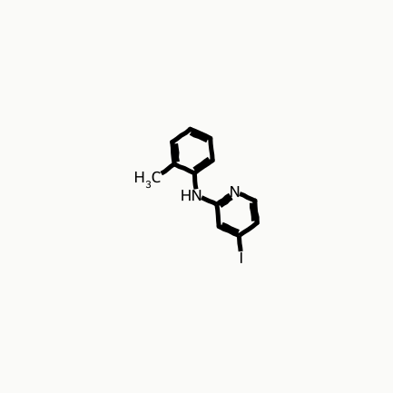 Cc1ccccc1Nc1cc(I)ccn1